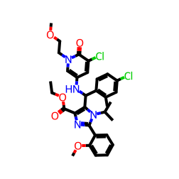 CCOC(=O)c1nc(-c2ccccc2OC)n(C(C)C)c1C(Nc1cc(Cl)c(=O)n(CCOC)c1)c1ccc(Cl)cc1C